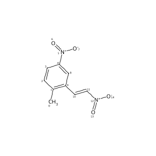 Cc1ccc([N+](=O)[O-])cc1C=C[N+](=O)[O-]